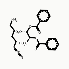 O=C(O[C@@H](C(=O)O)[C@@H](OC(=O)c1ccccc1)C(=O)O)c1ccccc1.[N-]=[N+]=NCCCCN